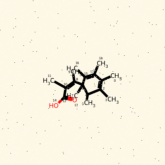 CC1=C(C)C(C)C(C)(C(C)=C(C)C(=O)O)C(C)=C1C